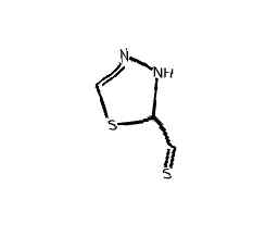 S=CC1NN=CS1